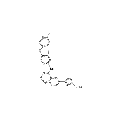 Cc1ccc(Oc2ccc(Nc3ncnc4ccc(-c5ccc(C=O)o5)cc34)cc2C)cn1